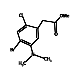 COC(=O)Cc1cc(N(C)C)c(Br)cc1Cl